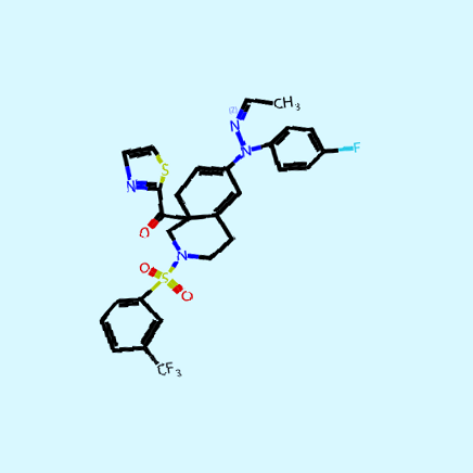 C/C=N\N(C1=CCC2(C(=O)c3nccs3)CN(S(=O)(=O)c3cccc(C(F)(F)F)c3)CCC2=C1)c1ccc(F)cc1